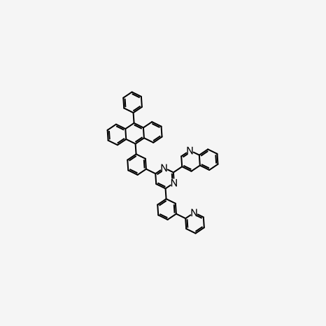 c1ccc(-c2c3ccccc3c(-c3cccc(-c4cc(-c5cccc(-c6ccccn6)c5)nc(-c5cnc6ccccc6c5)n4)c3)c3ccccc23)cc1